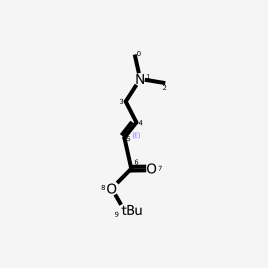 CN(C)C/C=C/C(=O)OC(C)(C)C